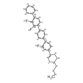 C=CCCC1CC=C(c2ccc(-c3ccc(-c4ccc(-c5ccccc5)c(F)c4F)cc3)c(F)c2)CC1